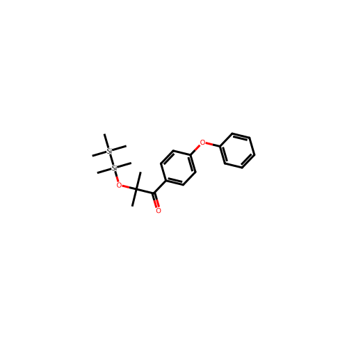 CC(C)(O[Si](C)(C)[Si](C)(C)C)C(=O)c1ccc(Oc2ccccc2)cc1